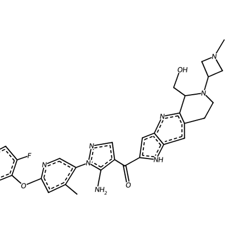 Cc1cc(Oc2c(F)cccc2F)ncc1-n1ncc(C(=O)c2cc3nc4c(cc3[nH]2)CCN(C2CN(C)C2)C4CO)c1N